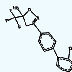 OC1(C(F)(F)F)CC(c2ccc(-c3cccnc3Cl)cc2)=NO1